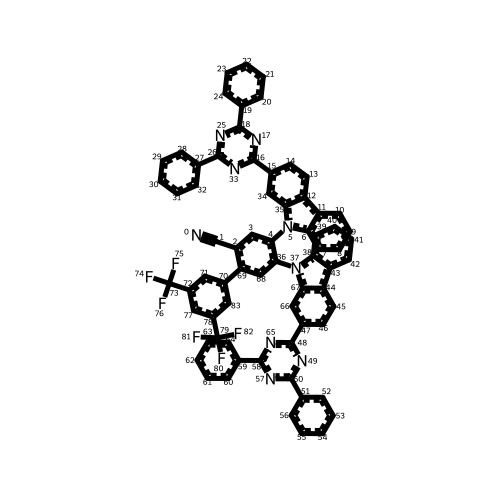 N#Cc1cc(-n2c3ccccc3c3ccc(-c4nc(-c5ccccc5)nc(-c5ccccc5)n4)cc32)c(-n2c3ccccc3c3ccc(-c4nc(-c5ccccc5)nc(-c5ccccc5)n4)cc32)cc1-c1cc(C(F)(F)F)cc(C(F)(F)F)c1